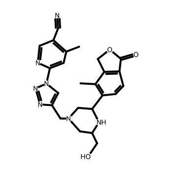 Cc1cc(-n2cc(CN3CC(CO)NC(c4ccc5c(c4C)COC5=O)C3)nn2)ncc1C#N